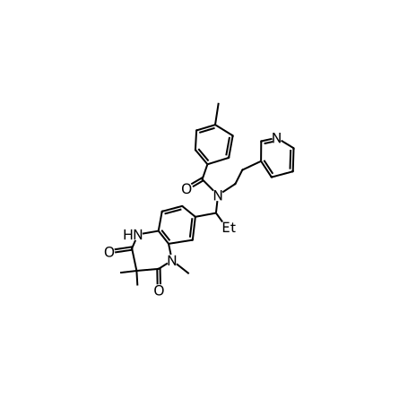 CCC(c1ccc2c(c1)N(C)C(=O)C(C)(C)C(=O)N2)N(CCc1cccnc1)C(=O)c1ccc(C)cc1